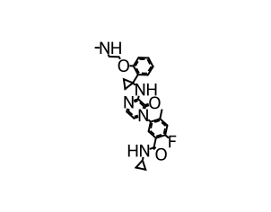 CNCCOc1ccccc1C1(Nc2nccn(-c3cc(C(=O)NC4CC4)c(F)cc3C)c2=O)CC1